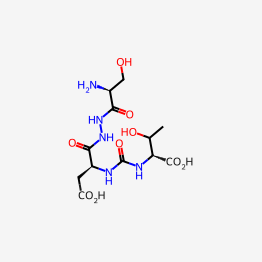 CC(O)[C@H](NC(=O)N[C@@H](CC(=O)O)C(=O)NNC(=O)[C@@H](N)CO)C(=O)O